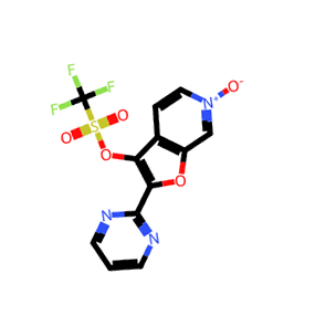 O=S(=O)(Oc1c(-c2ncccn2)oc2c[n+]([O-])ccc12)C(F)(F)F